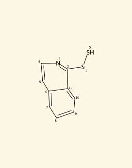 SSc1nccc2ccccc12